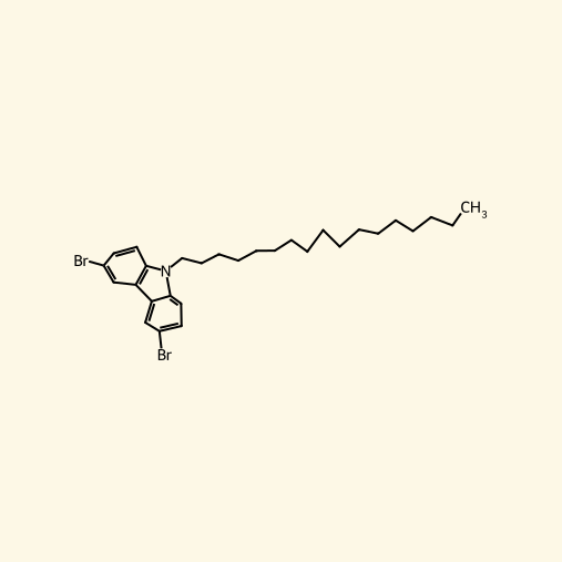 CCCCCCCCCCCCCCCCCn1c2ccc(Br)cc2c2cc(Br)ccc21